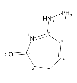 O=C1CCC=CC(NP)=N1